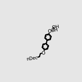 CCCCCCCCCCCCOc1ccc(-c2ccc(OBO)cc2)cc1